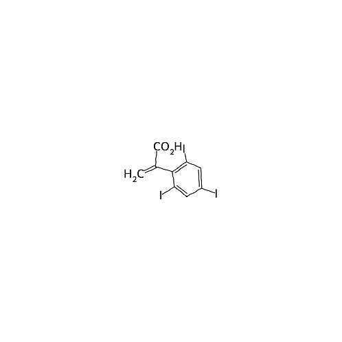 C=C(C(=O)O)c1c(I)cc(I)cc1I